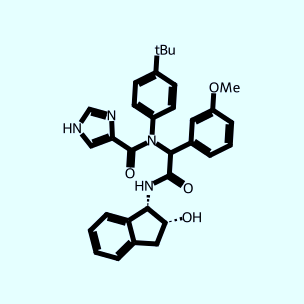 COc1cccc(C(C(=O)N[C@H]2c3ccccc3C[C@H]2O)N(C(=O)c2c[nH]cn2)c2ccc(C(C)(C)C)cc2)c1